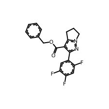 O=C(OCc1ccccc1)c1c(-c2cc(F)c(F)cc2F)nn2c1CCC2